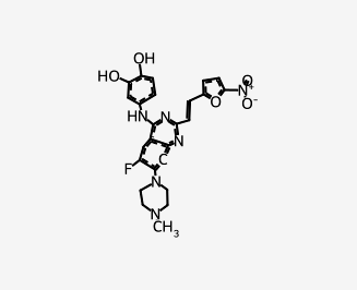 CN1CCN(c2cc3nc(/C=C/c4ccc([N+](=O)[O-])o4)nc(Nc4ccc(O)c(O)c4)c3cc2F)CC1